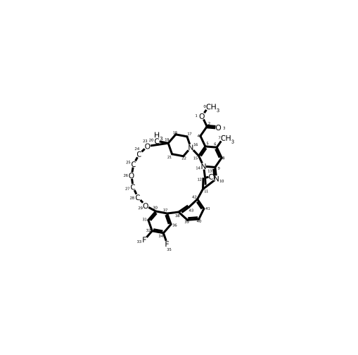 COC(=O)Cc1c(C)cc2nc3c(Cl)n2c1N1CCC(C)(CC1)OCCOCCOc1cc(F)c(F)cc1-c1cccc-3c1